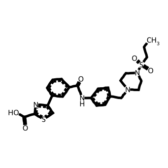 CCCS(=O)(=O)N1CCN(Cc2ccc(NC(=O)c3cccc(-c4csc(C(=O)O)n4)c3)cc2)CC1